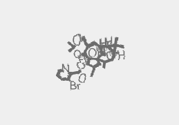 CC1=CC23C(=O)[C@@H](C=C4COC(C)(C)O[C@H]4[C@]2(O)[C@H]1OC(=O)c1ncccc1Br)[C@H]1[C@@H](CC3C)C1(C)C